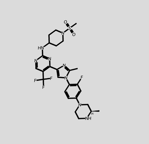 Cc1nc(-c2nc(NC3CCN(S(C)(=O)=O)CC3)ncc2C(F)(F)F)cn1-c1ccc(N2CCN[C@H](C)C2)cc1F